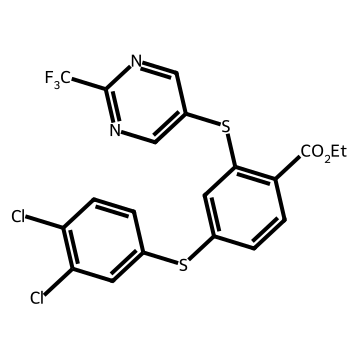 CCOC(=O)c1ccc(Sc2ccc(Cl)c(Cl)c2)cc1Sc1cnc(C(F)(F)F)nc1